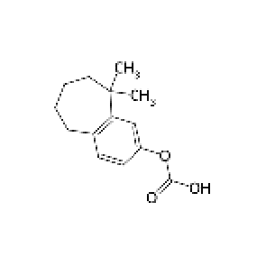 CC1(C)CCCCc2ccc(OC(=O)O)cc21